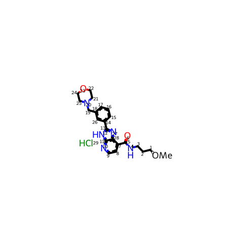 COCCCNC(=O)c1ccnc2[nH]c(-c3cccc(CN4CCOCC4)c3)nc12.Cl